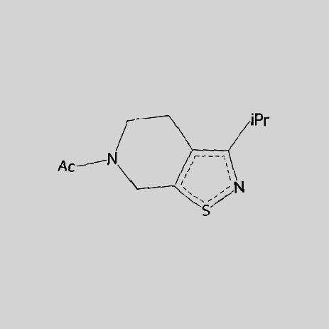 CC(=O)N1CCc2c(C(C)C)nsc2C1